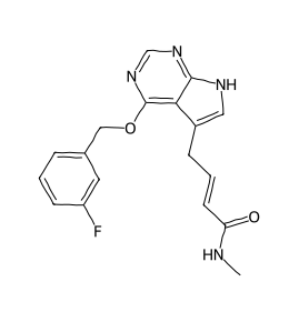 CNC(=O)/C=C/Cc1c[nH]c2ncnc(OCc3cccc(F)c3)c12